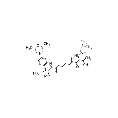 Cc1nnc2c(NCCCCNC(=O)[C@@H](NC(=O)CC(C)C)C(C)C)nc3cc(N4C[C@@H](C)O[C@@H](C)C4)ccc3n12